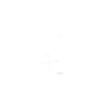 CCCOS(=O)(=O)OCCC(F)(F)F